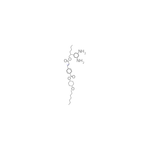 CCCCCCCOC1CCC(OC(=O)c2ccc(/C=C/C(=O)OCC(CCCC)c3cc(N)cc(N)c3)cc2)CC1